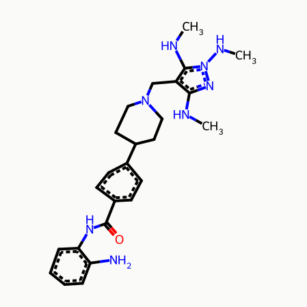 CNc1nn(NC)c(NC)c1CN1CCC(c2ccc(C(=O)Nc3ccccc3N)cc2)CC1